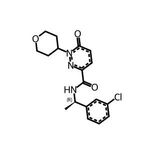 C[C@@H](NC(=O)c1ccc(=O)n(C2CCOCC2)n1)c1cccc(Cl)c1